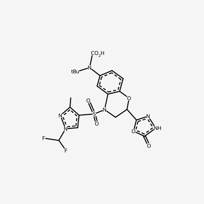 Cc1nn(C(F)F)cc1S(=O)(=O)N1CC(c2n[nH]c(=O)o2)Oc2ccc(N(C(=O)O)C(C)(C)C)cc21